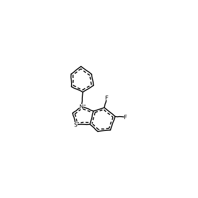 Fc1ccc2sc[n+](-c3ccccc3)c2c1F